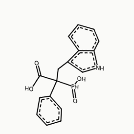 O=C(O)C(Cc1c[nH]c2ccccc12)(c1ccccc1)[PH](=O)O